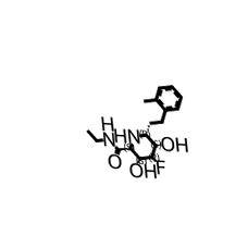 CCNC(=O)[C@H]1N[C@H](CCc2ccccc2C)[C@H](O)[C@@H](F)[C@H]1O